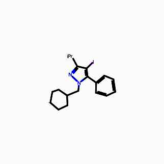 CC(C)c1nn(CC2CC[CH]CC2)c(-c2ccccc2)c1I